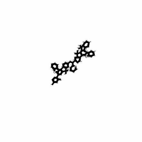 Cc1ccc(-c2cc3c(c4c2oc2ccccc24)-c2ccc(CC(c4ccc5c(c4)C(C)(C)c4c6c(c7c(oc8ccccc87)c4-5)-c4ccccc4C6(C)C)c4ccccn4)cc2C3(C)C)c(C)c1